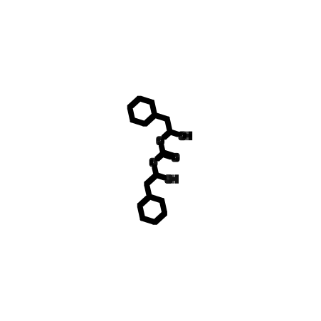 O=C(OC(O)CC1CCCCC1)OC(O)CC1CCCCC1